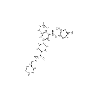 O=C(NCCN1CCOCC1)C1CCN(c2nc3c(c(NCc4ccc(Cl)cc4Cl)n2)CNCC3)CC1